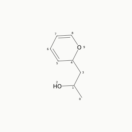 CC(O)CC1C=CC=CO1